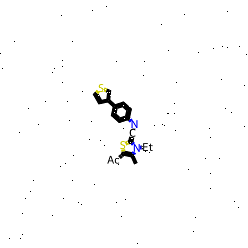 CCN1C(=C=Nc2ccc(C3C=CSC3)cc2)SC(C(C)=O)=C1C